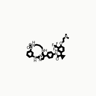 CN(C)CCOc1ccc(C2(C(=O)Nc3ccc(-c4cnc5nc4NCCCNS(=O)(=O)c4cccc(c4)N5)cc3)CC2)cc1C(F)(F)F